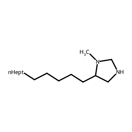 CCCCCCCCCCCCC1CNCN1C